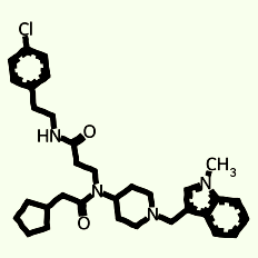 Cn1cc(CN2CCC(N(CCC(=O)NCCc3ccc(Cl)cc3)C(=O)CC3CCCC3)CC2)c2ccccc21